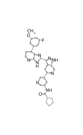 COc1cc(F)cc(-c2ccnc3[nH]c(-c4n[nH]c5cnc(-c6cncc(NC(=O)C7CCCC7)c6)cc45)nc23)c1